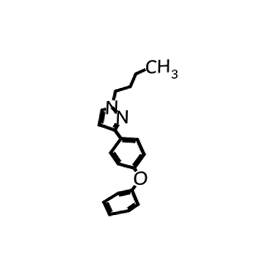 CCCCn1ccc(-c2ccc(Oc3ccccc3)cc2)n1